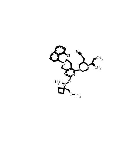 C=CC(=C)N1CCN(c2nc(ON(C)C3(COC)CCC3)nc3c2CCN(c2cccc4cccc(Cl)c24)C3)CC1CC#N